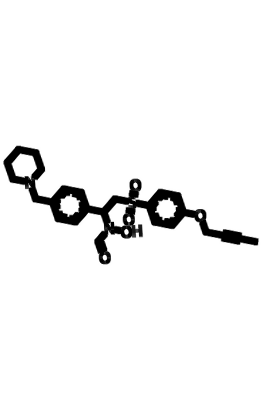 CC#CCOc1ccc(S(=O)(=O)CC(c2ccc(CN3CCCCC3)cc2)N(O)C=O)cc1